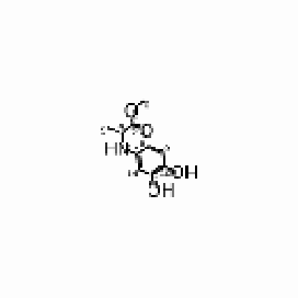 COC(=O)[C@H](C)Nc1ccc(O)c(O)c1